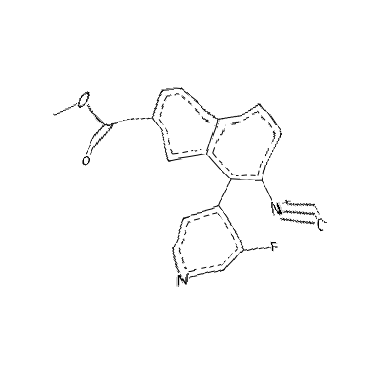 [C-]#[N+]c1ccc2ccc(C(=O)OC)cc2c1-c1ccncc1F